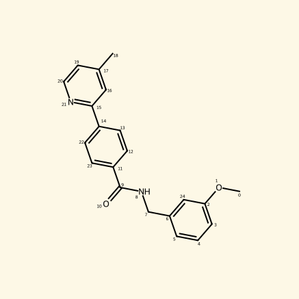 COc1cccc(CNC(=O)c2ccc(-c3cc(C)ccn3)cc2)c1